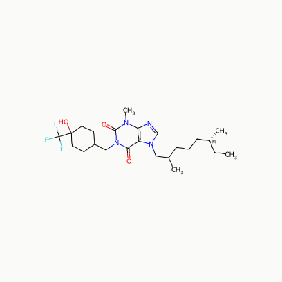 CC[C@@H](C)CCCC(C)Cn1cnc2c1c(=O)n(CC1CCC(O)(C(F)(F)F)CC1)c(=O)n2C